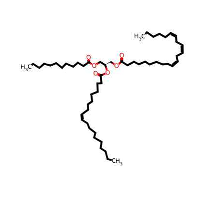 CCCCC/C=C\C/C=C\C/C=C\CCCCCCCCC(=O)OC[C@@H](COC(=O)CCCCCCCCCCC)OC(=O)CCCCCCC/C=C\CCCCCCCCC